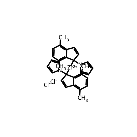 Cc1ccc(C)c2c1C=C[C]2([Zr+2][C]1(n2cccc2)C=Cc2c(C)ccc(C)c21)n1cccc1.[Cl-].[Cl-]